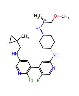 COC[C@H](C)N[C@H]1CC[C@H](Nc2cc(-c3cc(NCC4(C)CC4)cnc3Cl)c(F)cn2)CC1